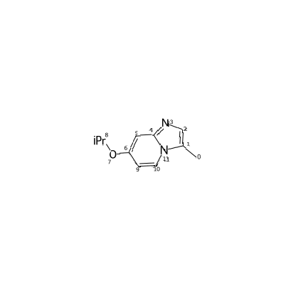 Cc1cnc2cc(OC(C)C)ccn12